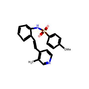 COc1ccc(S(=O)(=O)Nc2ccccc2C=Cc2ccncc2C)cc1